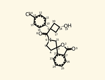 O=C1OC2(CCN(C(=O)[C@]3(c4ccc(Cl)cc4)C[C@@H](O)C3)C2)c2ccccc21